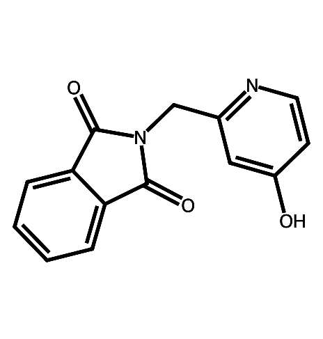 O=C1c2ccccc2C(=O)N1Cc1cc(O)ccn1